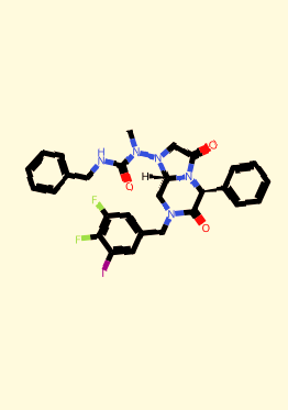 CN(C(=O)NCc1ccccc1)N1CC(=O)N2[C@@H](c3ccccc3)C(=O)N(Cc3cc(F)c(F)c(I)c3)C[C@@H]21